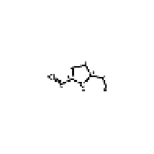 CCC1CCC(C=O)O1